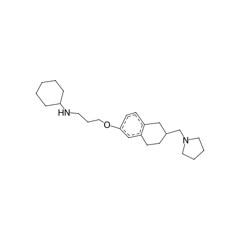 c1cc2c(cc1OCCCNC1CCCCC1)CCC(CN1CCCC1)C2